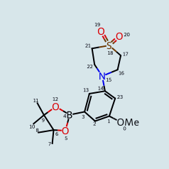 COc1cc(B2OC(C)(C)C(C)(C)O2)cc(N2CCS(=O)(=O)CC2)c1